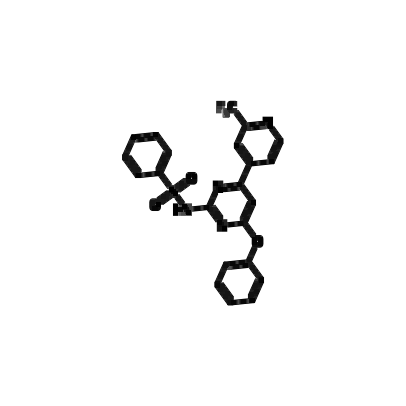 O=S(=O)(Nc1nc(Oc2ccccc2)cc(-c2ccnc(C(F)(F)F)c2)n1)c1ccccc1